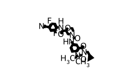 CC(C)n1c(=O)n(CC2CC2)c(=O)c2cc(NC(=O)N3CCOC(C(=O)Nc4cc(F)c(C#N)cc4F)C3)ccc21